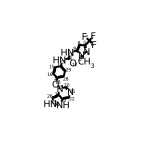 Cn1nc(C(F)(F)F)cc1NC(=O)Nc1ccc(ON2C=NC=C3NNC=C32)cc1